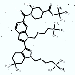 C[C@H]1CN(C(=O)OC(C)(C)C)CCN1C(=O)c1ccc2cc(-c3nn(COCC[Si](C)(C)C)c4c3CCC(C)(C)C4)n(COCC[Si](C)(C)C)c2c1